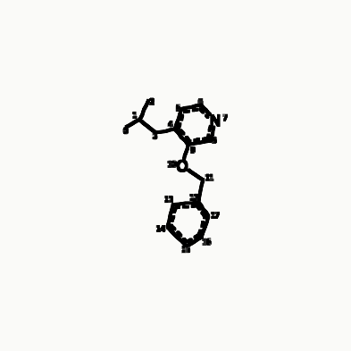 CC(C)Cc1ccncc1OCc1ccccc1